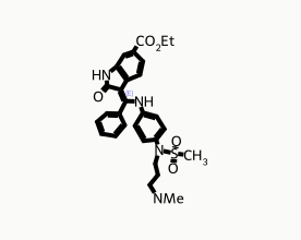 CCOC(=O)c1ccc2c(c1)NC(=O)/C2=C(/Nc1ccc(N(CCCNC)S(C)(=O)=O)cc1)c1ccccc1